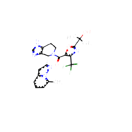 Cc1cccc2cc([C@@H]3c4nc[nH]c4CCN3C(=O)c3oc(C(C)(C)O)nc3C(F)(F)F)nn12